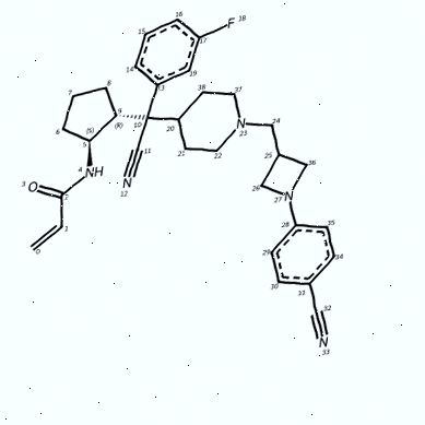 C=CC(=O)N[C@H]1CCC[C@@H]1C(C#N)(c1cccc(F)c1)C1CCN(CC2CN(c3ccc(C#N)cc3)C2)CC1